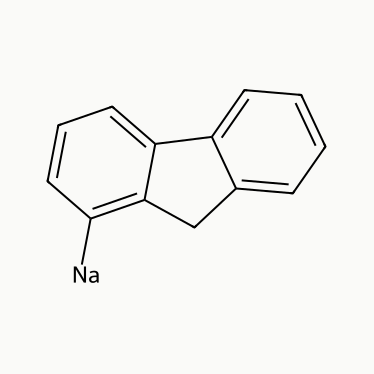 [Na][c]1cccc2c1Cc1ccccc1-2